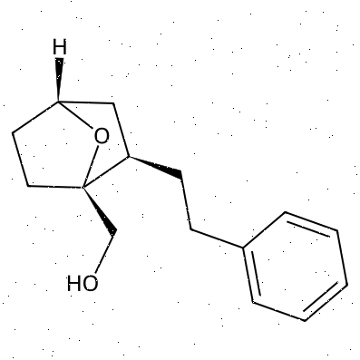 OC[C@]12CC[C@H](C[C@H]1CCc1ccccc1)O2